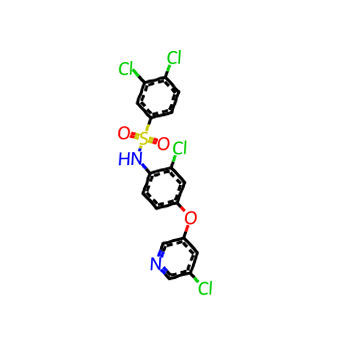 O=S(=O)(Nc1ccc(Oc2cncc(Cl)c2)cc1Cl)c1ccc(Cl)c(Cl)c1